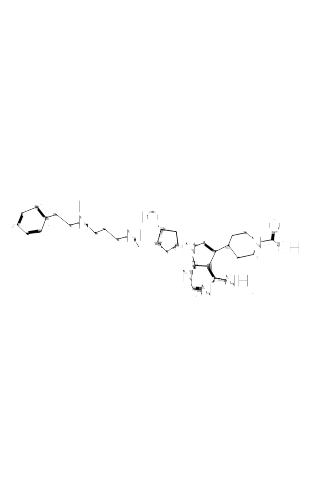 CC(=O)N1CCC(c2cn([C@@H]3C[C@H](CNCCCNCCc4ccccc4)[C@@H](O)C3)c3ncnc(N)c23)CC1